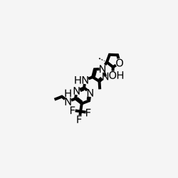 CCNc1nc(Nc2cn([C@@]3(C)CCOC3O)nc2C)ncc1C(F)(F)F